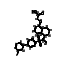 Cc1cccc(-c2ccc(S(=O)(=O)N(C)C3CCCc4c(OCC(=O)O)cccc43)nc2)c1